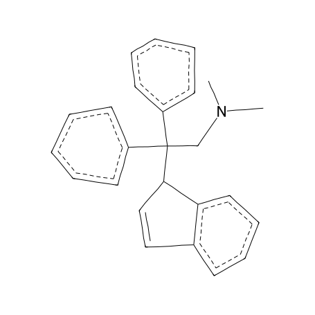 CN(C)CC(c1ccccc1)(c1ccccc1)C1C=Cc2ccccc21